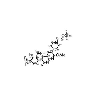 COc1nc2nc(C)nc(N[C@H](C)c3cccc(C(F)F)c3F)c2cc1C1CCN(CCO[Si](C)(C)C)CC1